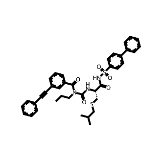 CCCN(C(=O)N[C@@H](CSCC(C)C)C(=O)NS(=O)(=O)c1ccc(-c2ccccc2)cc1)C(=O)c1cccc(C#Cc2ccccc2)c1